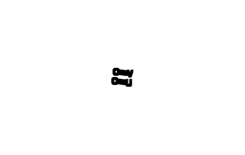 [O]=[U].[O]=[V]